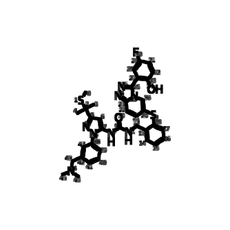 CSC(C)(C)c1cc(NC(=O)NCc2ccccc2Sc2ccc3nnc(-c4cc(F)ccc4O)n3c2)n(-c2cccc(CN(C)C)c2)n1